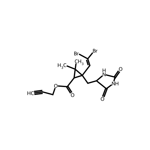 C#CCOC(=O)C1C(C)(C)C1(C=C(Br)Br)CC1NC(=O)NC1=O